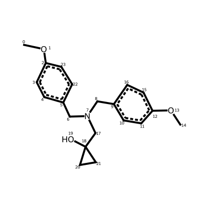 COc1ccc(CN(Cc2ccc(OC)cc2)CC2(O)CC2)cc1